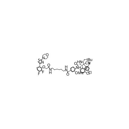 COc1cc(C(=O)NCCCCCCNC(=O)COc2c(-c3csc(N4CCOCC4)n3)ccc(F)c2F)ccc1NC(=O)[C@@H]1N[C@@H](CC(C)(C)C)[C@](C#N)(c2ccc(Cl)cc2F)[C@H]1c1cccc(Cl)c1F